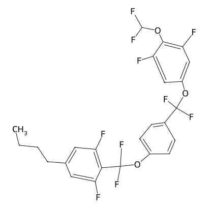 CCCCc1cc(F)c(C(F)(F)Oc2ccc(C(F)(F)Oc3cc(F)c(OC(F)F)c(F)c3)cc2)c(F)c1